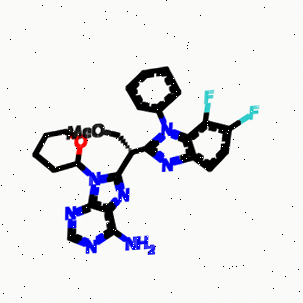 COC[C@H](c1nc2ccc(F)c(F)c2n1-c1ccccc1)c1nc2c(N)ncnc2n1C1CCCCO1